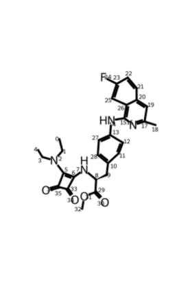 CCN(CC)c1c(N[C@@H](Cc2ccc(Nc3nc(C)cc4ccc(F)cc34)cc2)C(=O)OC)c(=O)c1=O